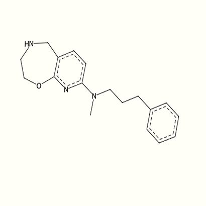 CN(CCCc1ccccc1)c1ccc2c(n1)OCCNC2